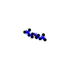 c1ccc(-c2nc(-c3ccccc3)nc(-c3cccc(-n4c5ccccc5c5c(-c6nnc(-c7cccc8c7c7ccccc7n8-c7cccc(-c8nc(-c9ccccc9)nc(-c9ccccc9)n8)c7)s6)cccc54)c3)n2)cc1